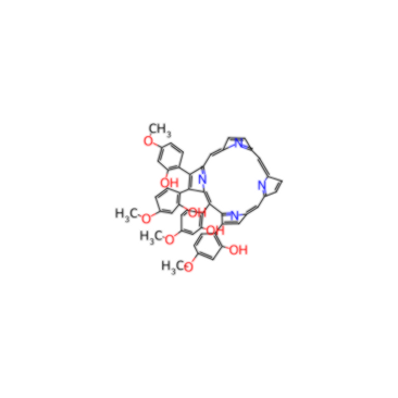 COc1ccc(C2=CC3=CC4=NC(=CC5=NC(=CC6=NC(=C(c7ccc(OC)cc7O)C2=N3)C(c2ccc(OC)cc2O)=C6c2ccc(OC)cc2O)C=C5)C=C4)c(O)c1